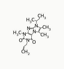 C=CCn1c(=O)c2c(nc3n(C(C)CC)c(C)c(C)n23)n(C)c1=O